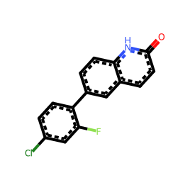 O=c1ccc2cc(-c3ccc(Cl)cc3F)ccc2[nH]1